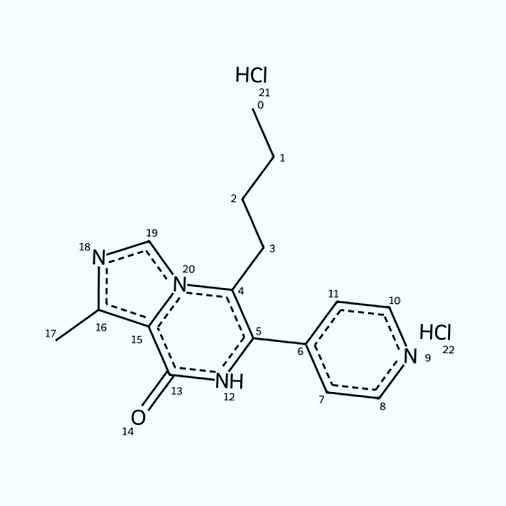 CCCCc1c(-c2ccncc2)[nH]c(=O)c2c(C)ncn12.Cl.Cl